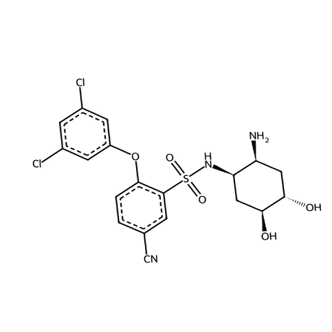 N#Cc1ccc(Oc2cc(Cl)cc(Cl)c2)c(S(=O)(=O)N[C@@H]2C[C@H](O)[C@@H](O)C[C@@H]2N)c1